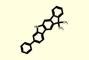 CC1(C)c2ccccc2-c2cc3[nH]c4cc(-c5ccccc5)ccc4c3cc21